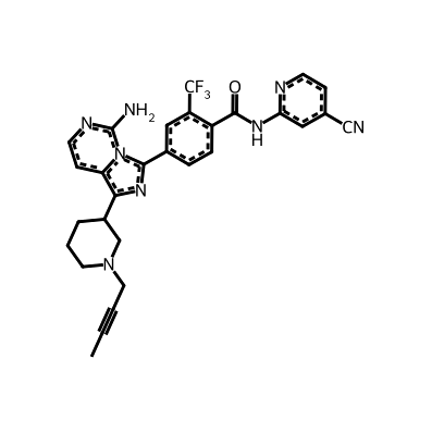 CC#CCN1CCCC(c2nc(-c3ccc(C(=O)Nc4cc(C#N)ccn4)c(C(F)(F)F)c3)n3c(N)nccc23)C1